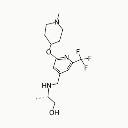 C[C@@H](CO)NCc1cc(OC2CCN(C)CC2)nc(C(F)(F)F)c1